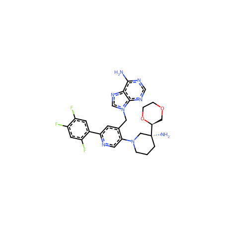 Nc1ncnc2c1ncn2Cc1cc(-c2cc(F)c(F)cc2F)ncc1N1CCC[C@](N)([C@@H]2COCCO2)C1